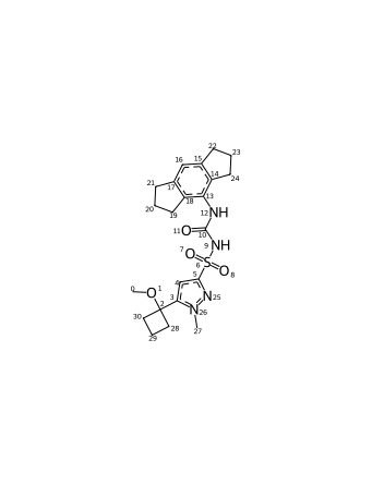 COC1(c2cc(S(=O)(=O)NC(=O)Nc3c4c(cc5c3CCC5)CCC4)nn2C)CCC1